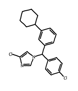 Clc1ccc(C(c2cccc(C3CCCCC3)c2)n2cnc(Cl)c2)cc1